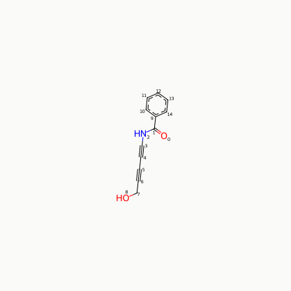 O=C(NC#CC#CCO)c1ccccc1